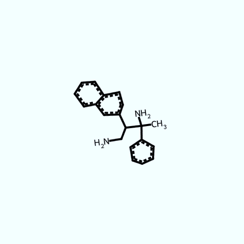 CC(N)(c1ccccc1)C(CN)c1ccc2ccccc2c1